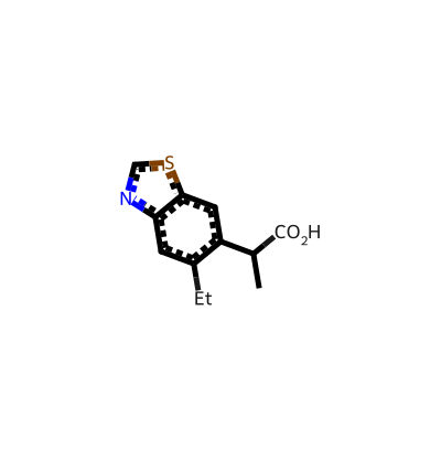 CCc1cc2ncsc2cc1C(C)C(=O)O